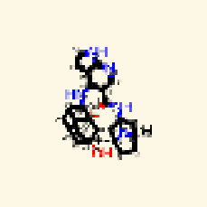 CN1[C@@H]2CC[C@H]1CC(NC(=O)c1cnc3[nH]ccc3c1N[C@H]1C3CC4CC1C[C@@](O)(C4)C3)C2